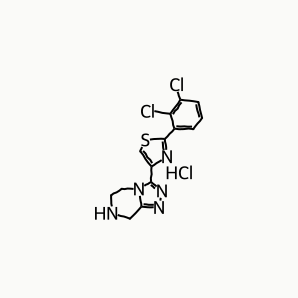 Cl.Clc1cccc(-c2nc(-c3nnc4n3CCNC4)cs2)c1Cl